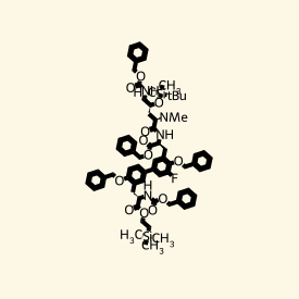 CN[C@@H](C[C@H](CNC(=O)OCc1ccccc1)O[Si](C)(C)C(C)(C)C)C(=O)N[C@@H](Cc1cc(-c2ccc(OCc3ccccc3)c(C[C@H](NC(=O)OCc3ccccc3)C(=O)OCC[Si](C)(C)C)c2)cc(F)c1OCc1ccccc1)C(=O)OCc1ccccc1